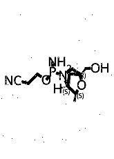 C[C@@H]1O[C@]2(CO)C[C@@H]1N(P(N)OCCC#N)C2